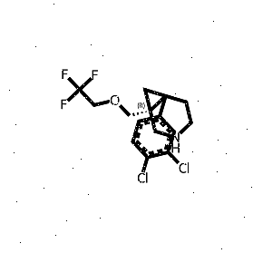 FC(F)(F)COC[C@@]12CNCCC1(c1ccc(Cl)c(Cl)c1)C2